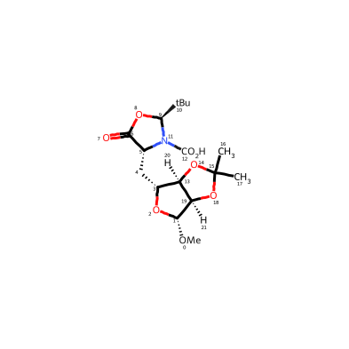 CO[C@@H]1O[C@H](C[C@@H]2C(=O)O[C@@H](C(C)(C)C)N2C(=O)O)[C@H]2OC(C)(C)O[C@@H]12